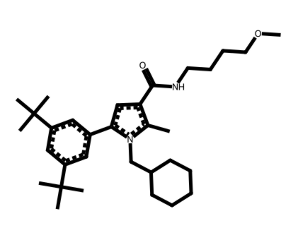 COCCCCNC(=O)c1cc(-c2cc(C(C)(C)C)cc(C(C)(C)C)c2)n(CC2CCCCC2)c1C